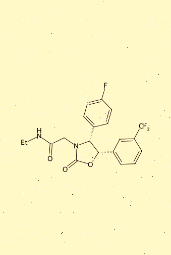 CCNC(=O)CN1C(=O)O[C@@H](c2cccc(C(F)(F)F)c2)[C@H]1c1ccc(F)cc1